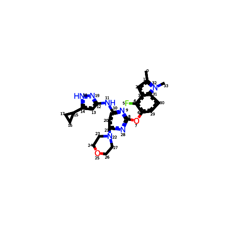 Cc1cc2c(F)c(Oc3nc(Nc4cc(C5CC5)[nH]n4)cc(N4CCOCC4)n3)ccc2n1C